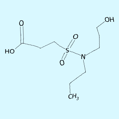 CCCN(CCO)S(=O)(=O)CCC(=O)O